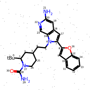 CC(C)(C)C1CC(CCn2c(-c3cc4ccccc4o3)cc3cc(N)ncc32)CCN1C(N)=O